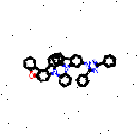 c1ccc(-c2nc(-c3ccccc3)n(-c3ccc4c5ccccc5n(-c5ccccc5-n5c6ccccc6c6c7c(ccc65)oc5ccccc57)c4c3)n2)cc1